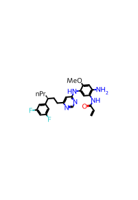 C=CC(=O)Nc1cc(Nc2cc(CC[C@H](CCC)c3cc(F)cc(F)c3)ncn2)c(OC)cc1N